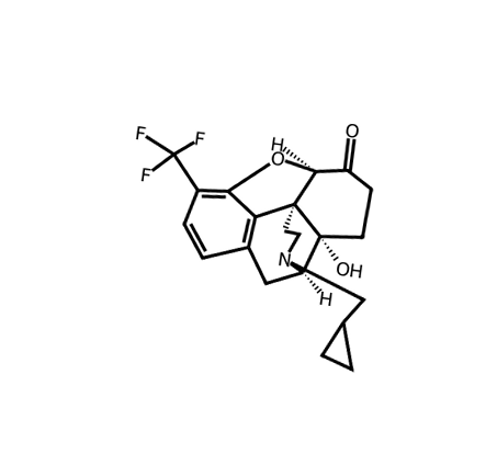 O=C1CC[C@@]2(O)[C@H]3Cc4ccc(C(F)(F)F)c5c4[C@@]2(CCN3CC2CC2)[C@H]1O5